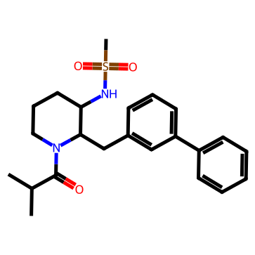 CC(C)C(=O)N1CCCC(NS(C)(=O)=O)C1Cc1cccc(-c2ccccc2)c1